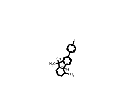 CC1CC=CC2[C@@H]1c1ccc(-c3ccc(I)cc3)cc1C2(C)C